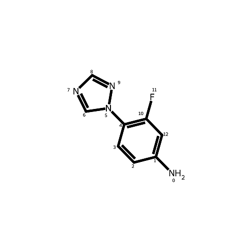 Nc1ccc(-n2cncn2)c(F)c1